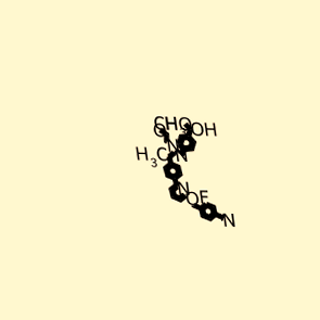 COCCn1c(C(C)c2ccc(-c3cccc(OCc4ccc(C#N)cc4F)n3)cc2)nc2ccc(C(O)O)cc21